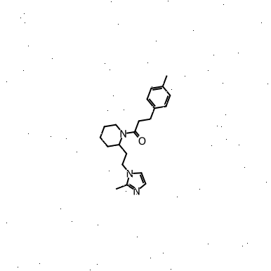 Cc1ccc(CCC(=O)N2CCCCC2CCn2ccnc2C)cc1